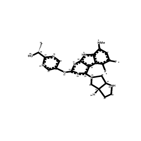 CNc1cc(F)c(F)c2c1[nH]c1nc(Oc3cnc([C@@H](C)O)nc3)nc(N3CC4NCC[C@@H]4C3)c12